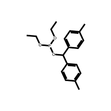 CCOP(OCC)OC(c1ccc(C)cc1)c1ccc(C)cc1